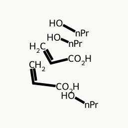 C=CC(=O)O.C=CC(=O)O.CCCO.CCCO.CCCO